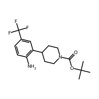 CC(C)(C)OC(=O)N1CCC(c2cc(C(F)(F)F)ccc2N)CC1